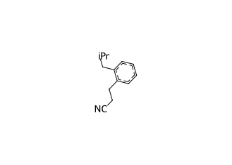 CC(C)Cc1ccccc1CCC#N